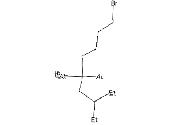 CCC(CC)CC(CCCCBr)(C(C)=O)C(C)(C)C